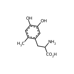 Cc1cc(O)c(O)cc1CC(N)C(=O)O